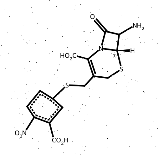 NC1C(=O)N2C(C(=O)O)=C(CSc3ccc([N+](=O)[O-])c(C(=O)O)c3)CS[C@@H]12